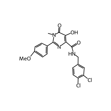 COc1ccc(-c2nc(C(=O)NCc3ccc(Cl)c(Cl)c3)c(O)c(=O)n2C)cc1